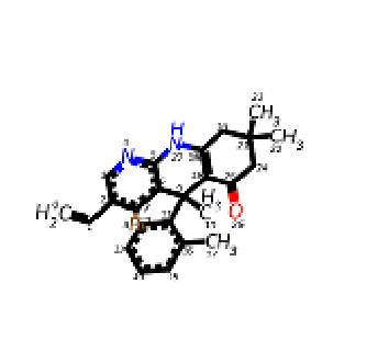 C=Cc1cnc2c(c1Br)C(C)(c1ccccc1C)C1=C(CC(C)(C)CC1=O)N2